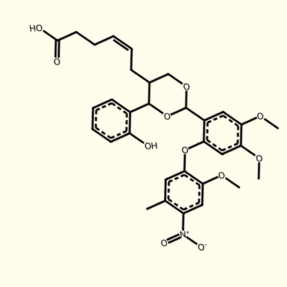 COc1cc(Oc2cc(C)c([N+](=O)[O-])cc2OC)c(C2OCC(C/C=C\CCC(=O)O)C(c3ccccc3O)O2)cc1OC